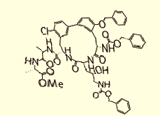 COC(=O)[C@H](C)NC(=O)C(C)NC(=O)[C@@H]1Cc2cc(ccc2Cl)-c2ccc(OCc3ccccc3)c(c2)C[C@H](NC(=O)OCc2ccccc2)C(=O)N[C@@H](C[C@@H](O)CNC(=O)OCc2ccccc2)C(=O)N1